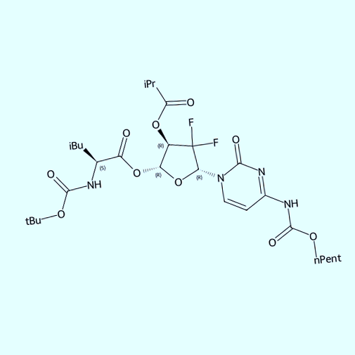 CCCCCOC(=O)Nc1ccn([C@@H]2O[C@H](OC(=O)[C@@H](NC(=O)OC(C)(C)C)C(C)CC)[C@@H](OC(=O)C(C)C)C2(F)F)c(=O)n1